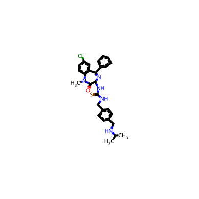 CC(C)NCc1ccc(CNC(=S)NC2N=C(c3ccccc3)c3cc(Cl)ccc3N(C)C2=O)cc1